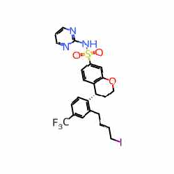 O=S(=O)(Nc1ncccn1)c1ccc2c(c1)OCC[C@@H]2c1ccc(C(F)(F)F)cc1CCCCI